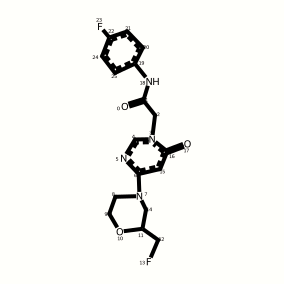 O=C(Cn1cnc(N2CCOC(CF)C2)cc1=O)Nc1ccc(F)cc1